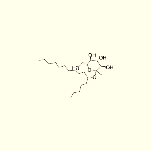 CCCCCCCCCCC(CCCCC)OC1(C)O[C@H](CO)[C@@H](O)[C@H](O)[C@H]1O